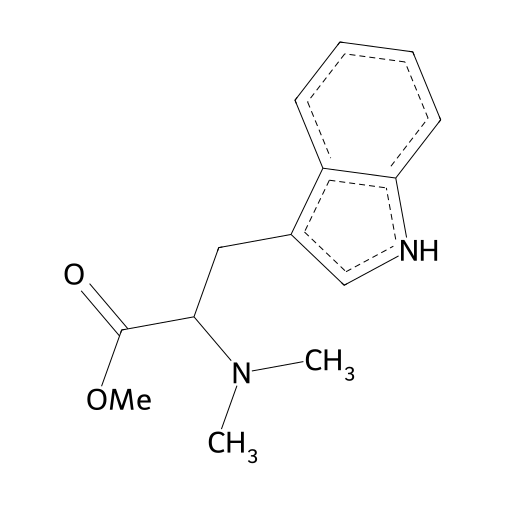 COC(=O)C(Cc1c[nH]c2ccccc12)N(C)C